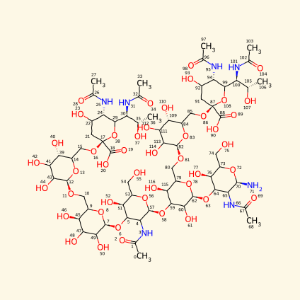 CC(=O)NC1C(O[C@@H]2OC(CO[C@@H]3OC(CO[C@@]4(C(=O)O)CC(O)[C@H](NC(C)=O)C([C@@H](NC(C)=O)[C@H](C)O)O4)[C@@H](O)C(O)C3O)[C@H](O)C(O)C2O)[C@@H](O)C(CO)O[C@H]1OC1C(O)[C@H](OC2C(NC(C)=O)[C@H](N)OC(CO)[C@@H]2O)OC(CO[C@@H]2OC(CO[C@@]3(C(=O)O)CC(O)[C@H](NC(C)=O)C([C@@H](NC(C)=O)[C@H](C)O)O3)[C@@H](O)C(O)C2O)[C@@H]1O